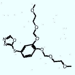 COCCOCOc1ccc(Sc2nnco2)cc1OCOCCOC